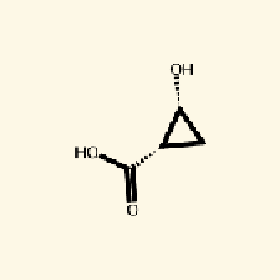 O=C(O)[C@H]1C[C@H]1O